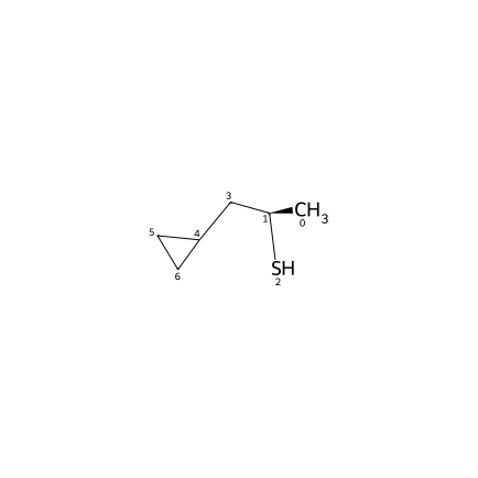 C[C@@H](S)CC1CC1